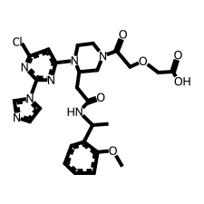 COc1ccccc1C(C)NC(=O)CC1CN(C(=O)COCC(=O)O)CCN1c1cc(Cl)nc(-n2ccnc2)n1